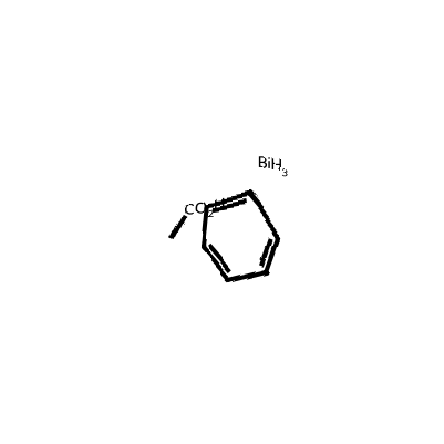 CC(=O)O.[BiH3].c1ccccc1